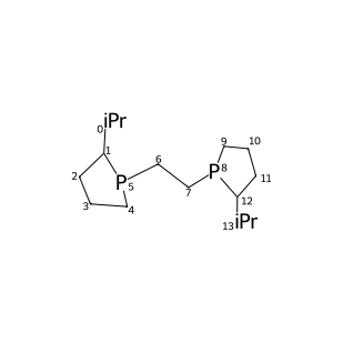 CC(C)C1CCCP1CCP1CCCC1C(C)C